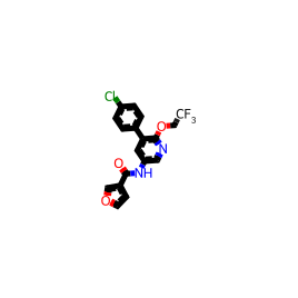 O=C(Nc1cnc(OCC(F)(F)F)c(-c2ccc(Cl)cc2)c1)c1ccoc1